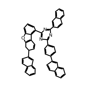 C1=CC(c2ccc3ccccc3c2)Cc2oc3cccc(-c4nc(-c5ccc(-c6ccc7ccccc7c6)cc5)nc(-c5ccc6ccccc6c5)n4)c3c21